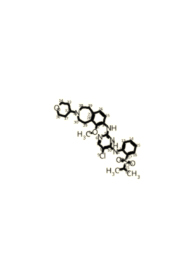 COc1c(Nc2ncc(Cl)c(Nc3ccccc3S(=O)(=O)C(C)C)n2)ccc2c1CCN(C1CCOCC1)CC2